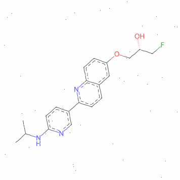 CC(C)Nc1ccc(-c2ccc3cc(OC[C@H](O)CF)ccc3n2)cn1